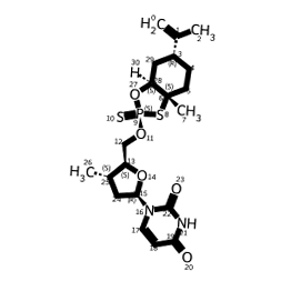 C=C(C)[C@@H]1CC[C@]2(C)S[P@@](=S)(OC[C@H]3O[C@@H](n4ccc(=O)[nH]c4=O)C[C@@H]3C)O[C@H]2C1